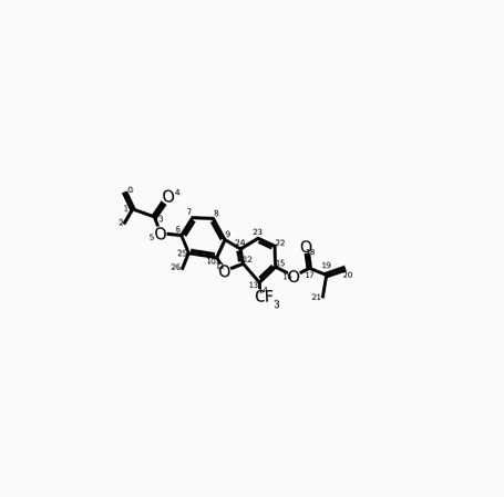 C=C(C)C(=O)Oc1ccc2c(oc3c(C(F)(F)F)c(OC(=O)C(=C)C)ccc32)c1C